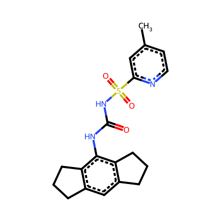 Cc1ccnc(S(=O)(=O)NC(=O)Nc2c3c(cc4c2CCC4)CCC3)c1